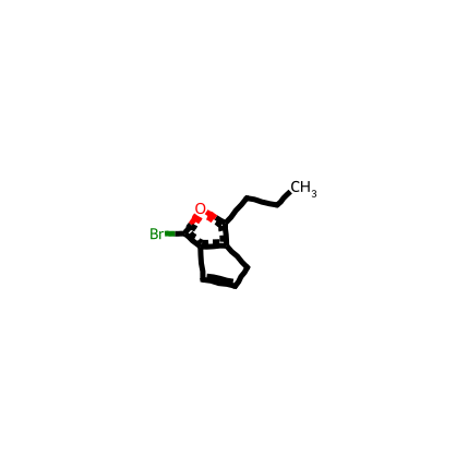 CCCc1oc(Br)c2c1CC=C2